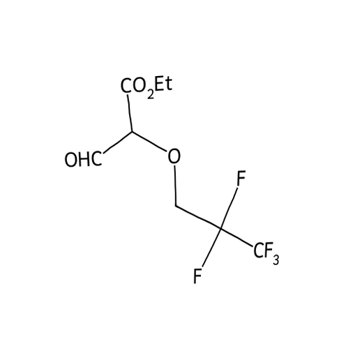 CCOC(=O)C(C=O)OCC(F)(F)C(F)(F)F